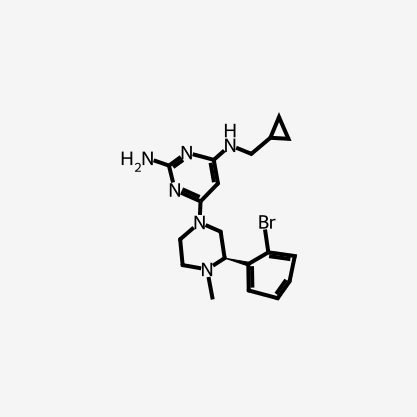 CN1CCN(c2cc(NCC3CC3)nc(N)n2)C[C@H]1c1ccccc1Br